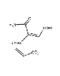 C=CC(=O)O.CCCCCCC=C(CCCCCC)C(N)=O